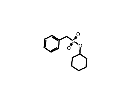 O=S(=O)(Cc1ccccc1)OC1CCCCC1